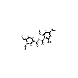 COc1cc(O)c(C(=O)CC(=O)c2ccc(OC)c(OC)c2)c(OC)c1